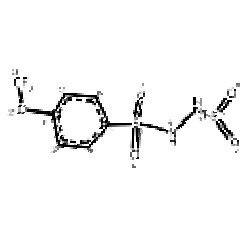 O=[SH](=O)NNS(=O)(=O)c1ccc(OC(F)(F)F)cc1